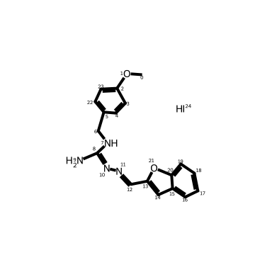 COc1ccc(CNC(N)=NN=Cc2cc3ccccc3o2)cc1.I